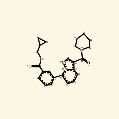 O=C(NCC1CC1)c1cccc(-c2cccc3c(C(=O)N4CCCCC4)cnn23)c1